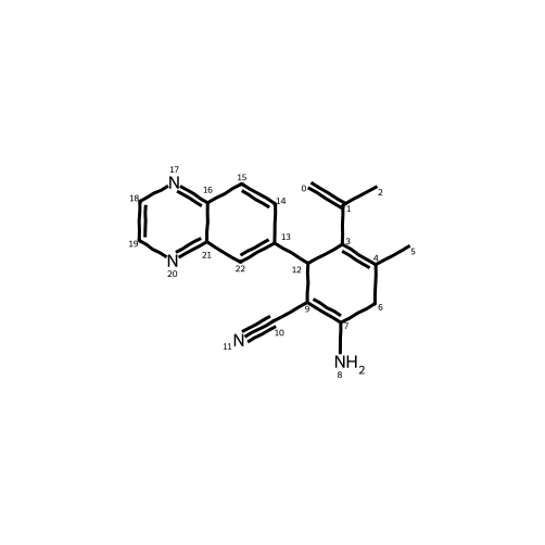 C=C(C)C1=C(C)CC(N)=C(C#N)C1c1ccc2nccnc2c1